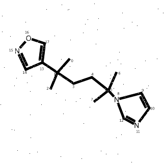 CC(C)(CCC(C)(C)n1ccnc1)c1cnoc1